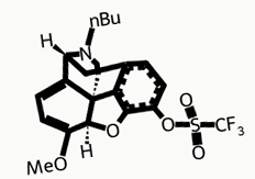 CCCCN1CC[C@@]23C4=CC=C(OC)[C@@H]2Oc2c(OS(=O)(=O)C(F)(F)F)ccc(c23)C[C@H]41